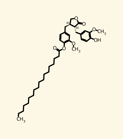 CCCCCCCCCCCCCCCCCC(=O)Oc1ccc(C[C@H]2COC(=O)[C@@H]2Cc2ccc(O)c(OC)c2)cc1OC